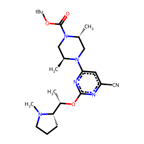 C[C@H](Oc1nc(C#N)cc(N2C[C@@H](C)N(C(=O)OC(C)(C)C)C[C@@H]2C)n1)[C@@H]1CCCN1C